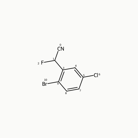 N#CC(F)c1cc(Cl)ccc1Br